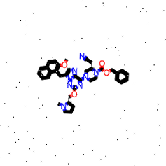 COc1ccc2ccccc2c1Cc1cnc2c(N3CCN(C(=O)OCc4ccccc4)[C@@H](CC#N)C3)nc(OC[C@@H]3CCCN3C)nn12